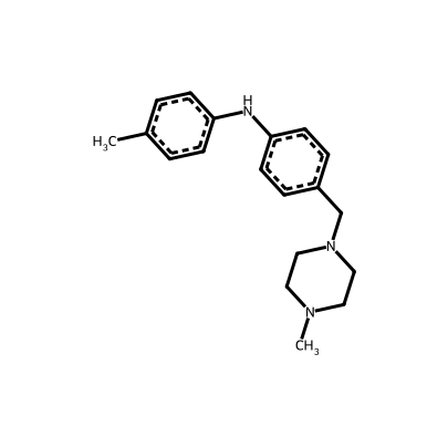 Cc1ccc(Nc2ccc(CN3CCN(C)CC3)cc2)cc1